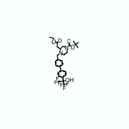 CCOC(=O)CC1CN(C(=O)OC(C)(C)C)CCN1Cc1ccc(-c2ccc(C(O)(C(F)(F)F)C(F)(F)F)cc2)cc1